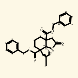 CC1=CC2(C(=O)OCc3ccccc3)CCCC3(C(=O)OCc4ccccc4)CC(=O)O[C@@]23CC1